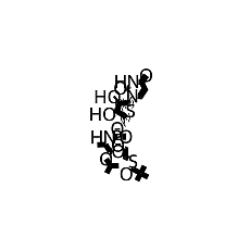 CC(C)OC(=O)C(C)NP(=O)(OCCSC(=O)C(C)(C)C)OC[C@H]1S[C@@H](n2ccc(=O)[nH]c2=O)[C@H](O)[C@@H]1O